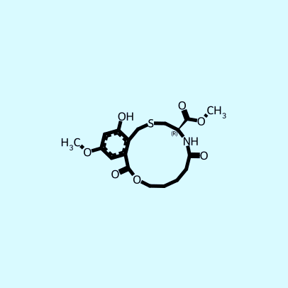 COC(=O)[C@@H]1CSCc2c(O)cc(OC)cc2C(=O)OCCCCC(=O)N1